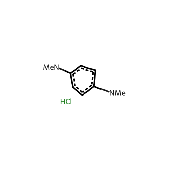 CNc1ccc(NC)cc1.Cl